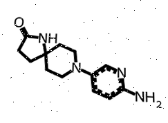 Nc1ccc(N2CCC3(CCC(=O)N3)CC2)cn1